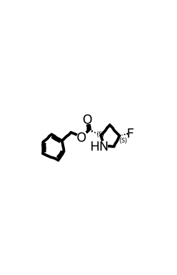 O=C(OCc1ccccc1)[C@@H]1C[C@H](F)CN1